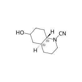 N#CN1CCC[C@H]2CC(O)CC[C@@H]21